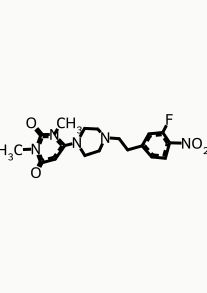 Cn1c(N2CCN(CCc3ccc([N+](=O)[O-])c(F)c3)CC2)cc(=O)n(C)c1=O